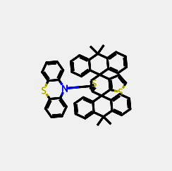 CC1(C)c2ccccc2C2(c3ccccc31)c1cc(N3c4ccccc4Sc4ccccc43)sc1C1(c3ccccc3C(C)(C)c3ccccc31)c1ccsc12